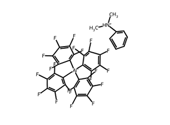 C[NH+](C)c1ccccc1.Fc1c(F)c(F)[c]([Al-]([c]2c(F)c(F)c(F)c(F)c2F)([c]2c(F)c(F)c(F)c(F)c2F)[c]2c(F)c(F)c(F)c(F)c2F)c(F)c1F